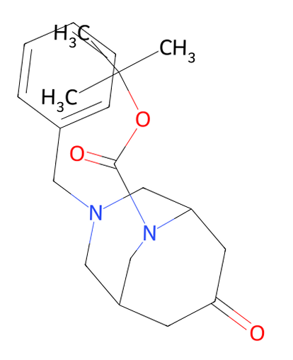 CC(C)(C)OC(=O)N1CC2CC(=O)CC1CN(Cc1ccccc1)C2